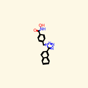 O=C(NO)c1ccc(Cn2nnnc2-c2ccc3ccccc3c2)cc1